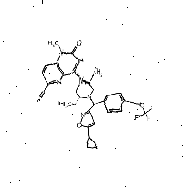 CC[C@@H]1CN(c2nc(=O)n(C)c3ccc(C#N)nc23)[C@@H](C)CN1C(c1ccc(OC(F)(F)F)cc1)c1cc(C2CC2)on1